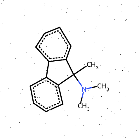 CN(C)C1(C)c2ccccc2-c2ccccc21